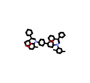 Cc1ccc(C)c(N(C=C(c2ccccc2)c2ccccc2)c2ccc(-c3ccc(N(C=C(c4ccccc4)c4ccccc4)c4cc(C)ccc4C)cc3)cc2)c1